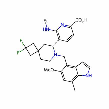 CCNc1nc(C(=O)O)ccc1[C@H]1CC2(CCN1Cc1c(OC)cc(C)c3[nH]ccc13)CC(F)(F)C2